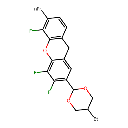 CCCc1ccc2c(c1F)Oc1c(cc(C3OCC(CC)CO3)c(F)c1F)C2